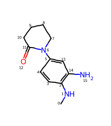 CNc1ccc(N2CCCCC2=O)cc1N